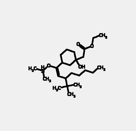 CCCCCC(/C=C(/O[SiH](C)C)C1CCCC(O)(CC(=O)OCC)C1)C(C)(C)C